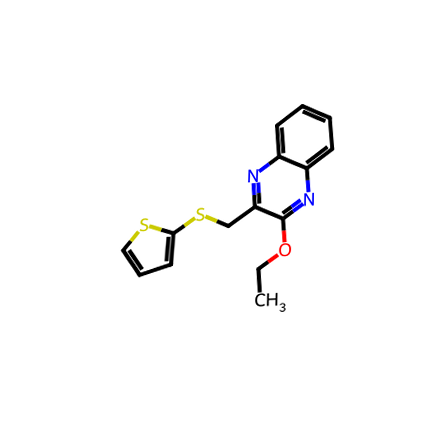 CCOc1nc2ccccc2nc1CSc1cccs1